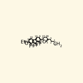 C=CCCC1=COC(c2ccc3c(c2F)C(F)(F)c2c-3ccc(OCC)c2F)CC1